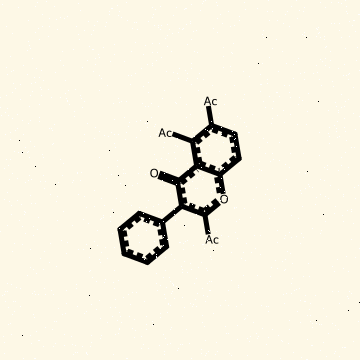 CC(=O)c1ccc2oc(C(C)=O)c(-c3ccccc3)c(=O)c2c1C(C)=O